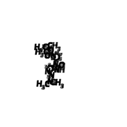 CN(C)/C=N/c1nccc2c1[nH]c(=O)n2C1CCCN(C(=O)OC(C)(C)C)C1